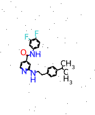 CC(C)c1ccc(CCNc2cc(C(=O)Nc3ccc(F)c(F)c3)ccn2)cc1